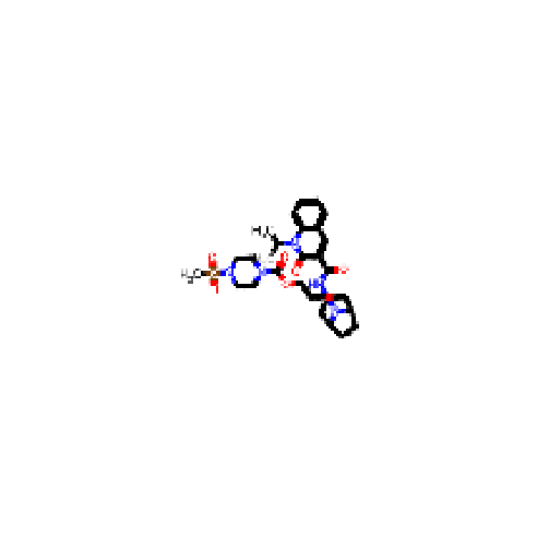 CC(C)n1c(=O)c(C(=O)NC2CC3CCC(C2)N3CCCOC(=O)N2CCN(S(C)(=O)=O)CC2)cc2ccccc21